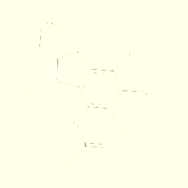 CCCN1c2c(c(C)c([N+](=O)[O-])c(C)c2NC(=O)C(C)(C)C)CC1COC